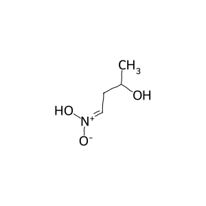 CC(O)CC=[N+]([O-])O